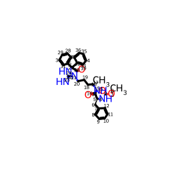 COC(=O)N[C@@H](Cc1ccccc1)C(=O)N[C@@H](C)CCCN1C(=N)NC(c2ccccc2)(c2ccccc2)C1=O